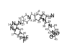 Cc1c(CN2CCC3(CC2)CN(c2ncnc4ccc(CC(F)(F)F)cc24)C3)ccc2c1cc(C#N)n2C(C)CN1CCN(S(C)(=O)=O)CC1